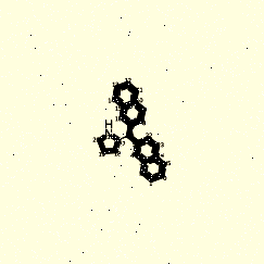 c1ccc2cc(C(c3ccc4ccccc4c3)[C@@H]3CCCN3)ccc2c1